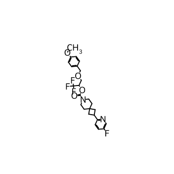 COc1ccc(COCC(OC(=O)N2CCC3(CC2)CC(c2ccc(F)cn2)C3)C(F)(F)F)cc1